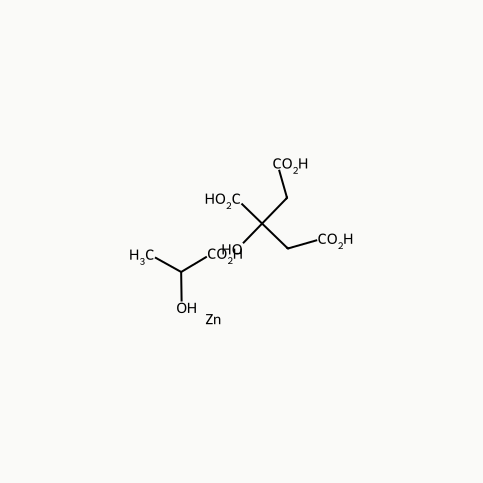 CC(O)C(=O)O.O=C(O)CC(O)(CC(=O)O)C(=O)O.[Zn]